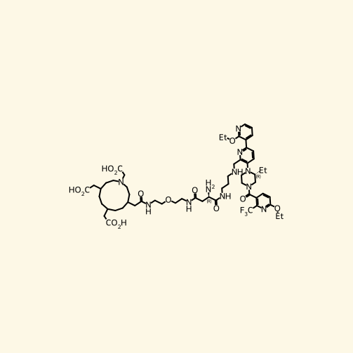 CCOc1ccc(C(=O)N2CCN(c3ccc(-c4cccnc4OCC)nc3CNCCCNC(=O)[C@H](N)CC(=O)NCCOCCNC(=O)CC3CCC(CC(=O)O)CCC(CC(=O)O)CCN(CC(=O)O)CC3)[C@H](CC)C2)c(C(F)(F)F)n1